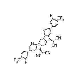 N#CC(C#N)=C1c2cc3c(cc2-c2ncc(-c4ccc(C(F)(F)F)c(F)c4)cc21)-c1ncc(-c2ccc(C(F)(F)F)c(F)c2)cc1C3=C(C#N)C#N